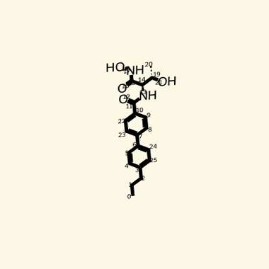 CCCc1ccc(-c2ccc(C(=O)N[C@@H](C(=O)NO)[C@H](C)O)cc2)cc1